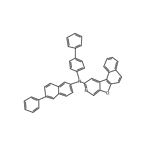 c1ccc(-c2ccc(N(c3ccc4cc(-c5ccccc5)ccc4c3)c3cc4c(cn3)oc3ccc5ccccc5c34)cc2)cc1